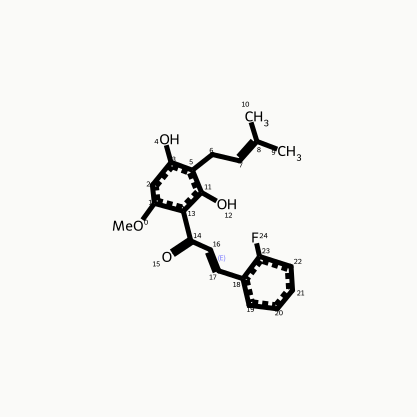 COc1cc(O)c(CC=C(C)C)c(O)c1C(=O)/C=C/c1ccccc1F